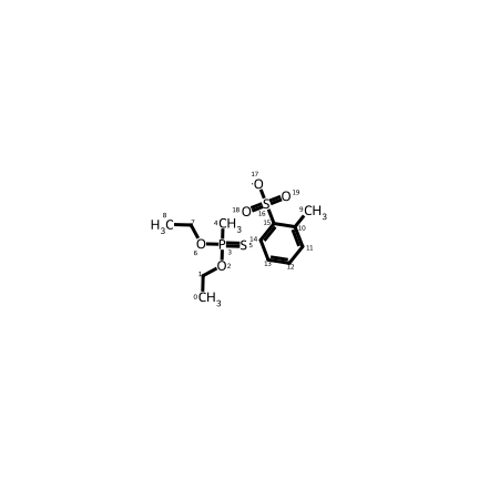 CCOP(C)(=S)OCC.Cc1ccccc1S([O])(=O)=O